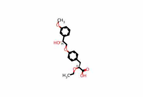 CCO[C@@H](Cc1ccc(OC[C@H](O)c2cccc(OC)c2)cc1)C(=O)O